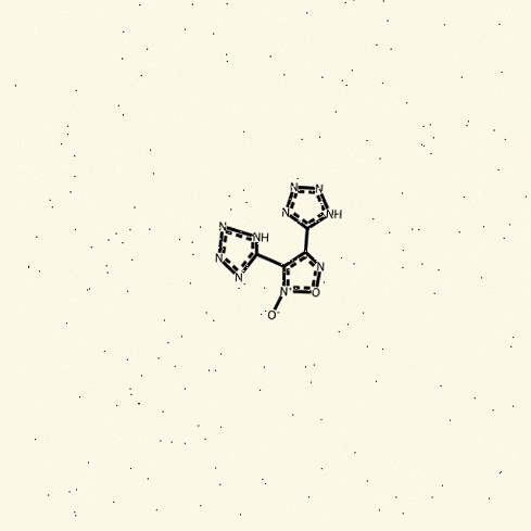 [O-][n+]1onc(-c2nnn[nH]2)c1-c1nnn[nH]1